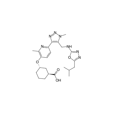 Cc1nc(-c2nnn(C)c2CNc2nnc(CC(C)C)o2)ccc1O[C@H]1CCC[C@H](C(=O)O)C1